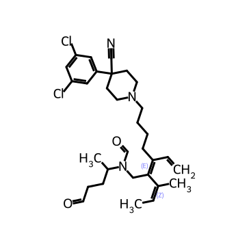 C=C/C(CCCCN1CCC(C#N)(c2cc(Cl)cc(Cl)c2)CC1)=C(CN(C=O)C(C)CCC=O)\C(C)=C/C